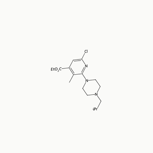 CCOC(=O)c1cc(Cl)nc(N2CCN(C[C](C)C)CC2)c1C